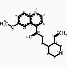 C=C[C@H]1CNCCC1CCC(=O)c1ccnc2ccc(OC)cc12